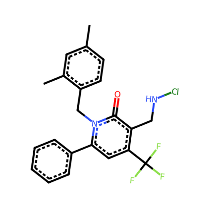 Cc1ccc(Cn2c(-c3ccccc3)cc(C(F)(F)F)c(CNCl)c2=O)c(C)c1